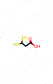 O=C(O)CC(S)S